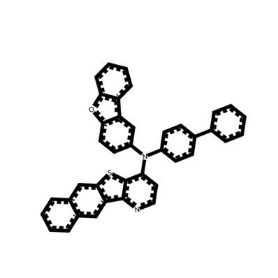 c1ccc(-c2ccc(N(c3ccc4oc5ccccc5c4c3)c3ccnc4c3sc3cc5ccccc5cc34)cc2)cc1